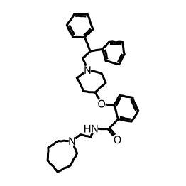 O=C(NCCN1CCCCCC1)c1ccccc1OC1CCN(CC(c2ccccc2)c2ccccc2)CC1